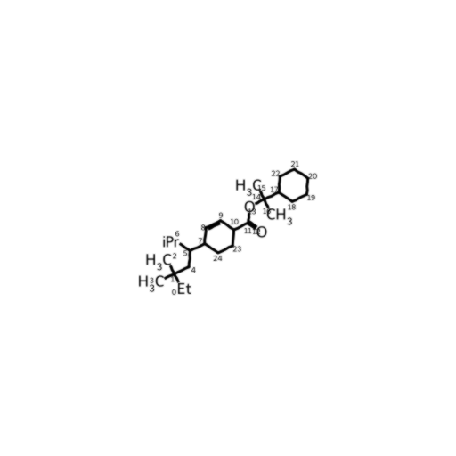 CCC(C)(C)CC(C(C)C)C1C=CC(C(=O)OC(C)(C)C2CCCCC2)CC1